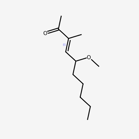 CCCCCC(/C=C(\C)C(C)=O)OC